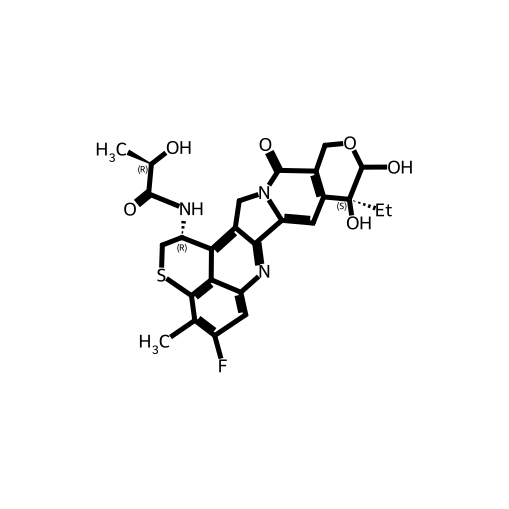 CC[C@]1(O)c2cc3n(c(=O)c2COC1O)Cc1c-3nc2cc(F)c(C)c3c2c1[C@@H](NC(=O)[C@@H](C)O)CS3